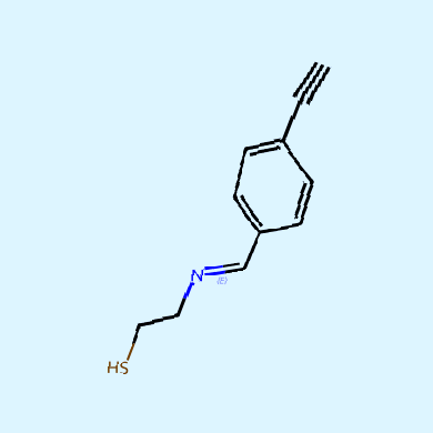 C#Cc1ccc(/C=N/CCS)cc1